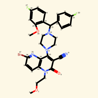 COCCn1c(=O)c(C#N)c(N2CCN(C(c3ccc(F)cc3)c3ccc(F)cc3OC)CC2)c2nc(Br)ccc21